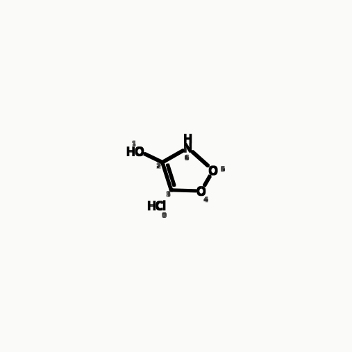 Cl.OC1=COON1